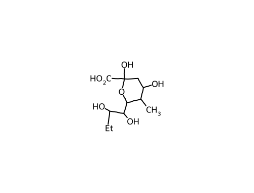 CCC(O)C(O)C1OC(O)(C(=O)O)CC(O)C1C